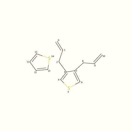 C=CCc1cscc1CC=C.c1ccsc1